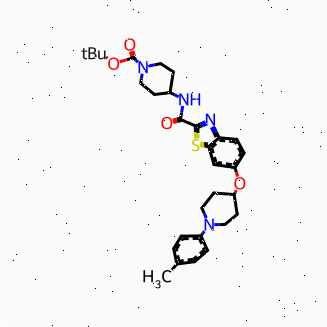 Cc1ccc(N2CCC(Oc3ccc4nc(C(=O)NC5CCN(C(=O)OC(C)(C)C)CC5)sc4c3)CC2)cc1